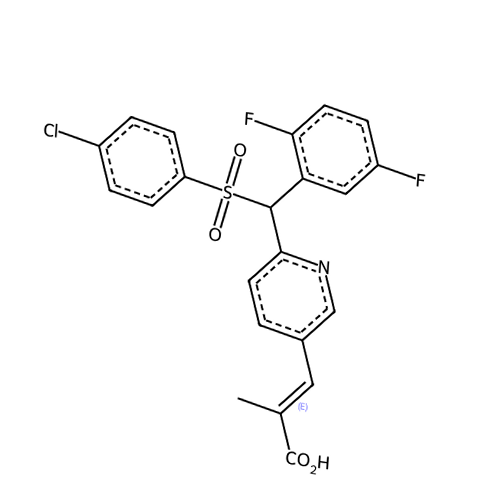 C/C(=C\c1ccc(C(c2cc(F)ccc2F)S(=O)(=O)c2ccc(Cl)cc2)nc1)C(=O)O